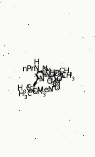 CCCNc1cc(C#C[Si](C)(C)C)nc2c1ncn2[C@@H]1O[C@H](C(=O)NC)[C@H]2OC(C)(C)O[C@H]21